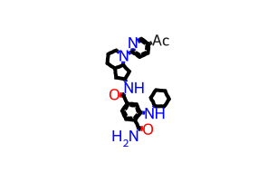 CC(=O)c1ccc(N2CCCC3CC(NC(=O)c4ccc(C(N)=O)c(NC5CCCCC5)c4)CC32)nc1